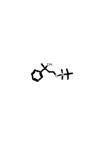 CC(O)(CCO[Si](C)(C)C(C)(C)C)c1ccccc1